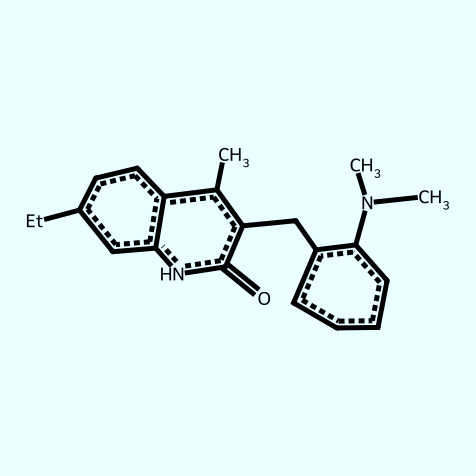 CCc1ccc2c(C)c(Cc3ccccc3N(C)C)c(=O)[nH]c2c1